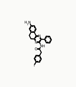 Nc1ccc2c(c1)CCc1nc(NC(=O)Cc3ccc(I)cc3)c(-c3ccccc3)nc1-2